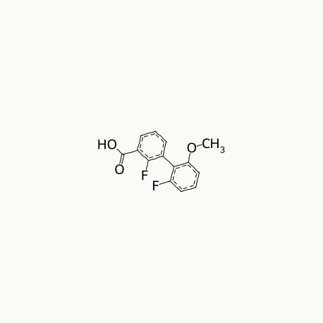 COc1cccc(F)c1-c1cccc(C(=O)O)c1F